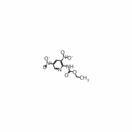 CCOC(=O)Nc1ncc([N+](=O)[O-])cc1[N+](=O)[O-]